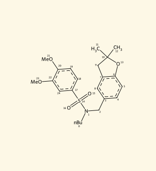 CCCCN(Cc1ccc2c(c1)CC(C)(C)O2)S(=O)(=O)c1ccc(OC)c(OC)c1